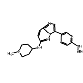 CCCCNc1ccc(-c2cnc3ccc(NC4CCN(C)CC4)nn23)cn1